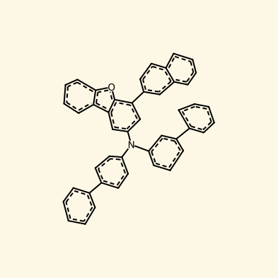 c1ccc(-c2ccc(N(c3cccc(-c4ccccc4)c3)c3cc(-c4ccc5ccccc5c4)c4oc5ccccc5c4c3)cc2)cc1